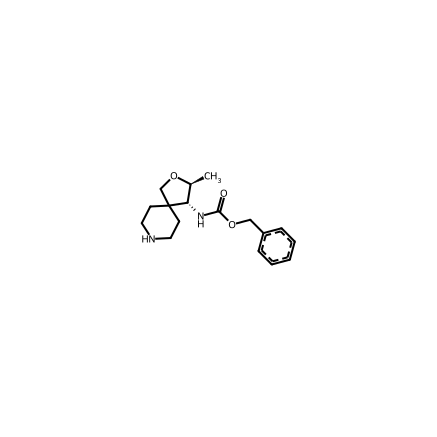 C[C@@H]1OCC2(CCNCC2)[C@H]1NC(=O)OCc1ccccc1